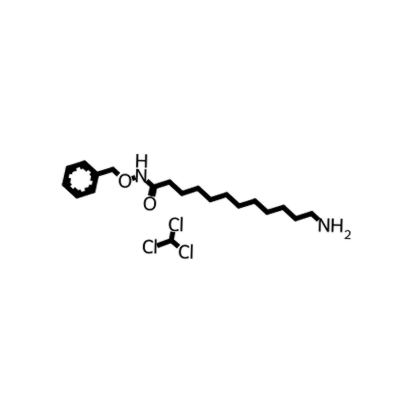 ClC(Cl)Cl.NCCCCCCCCCCCC(=O)NOCc1ccccc1